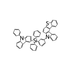 c1ccc(-n2c3ccccc3c3cc([Si](c4ccccc4)(c4ccccc4)c4cccc(-n5c6ccccc6c6c7c(ccc65)sc5ccccc57)c4)ccc32)cc1